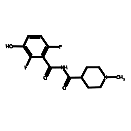 CN1CCC(C(=O)NC(=O)c2c(F)ccc(O)c2F)CC1